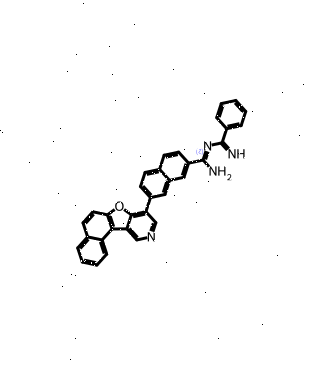 N=C(/N=C(\N)c1ccc2ccc(-c3cncc4c3oc3ccc5ccccc5c34)cc2c1)c1ccccc1